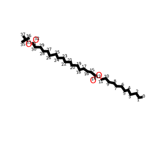 CCCCCCCCCCCCOC(=O)CCCCCCCCCCCCCCCCC(=O)OC(C)(C)C